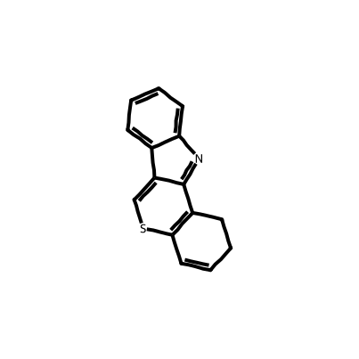 C1=Cc2scc3c4ccccc4nc-3c2CC1